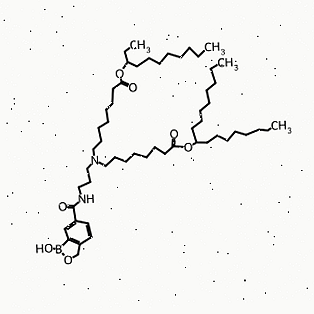 CCCCCCCCC(CC)OC(=O)CCCCCCCN(CCCCCCCC(=O)OC(CCCCCCCC)CCCCCCCC)CCCNC(=O)c1ccc2c(c1)B(O)OC2